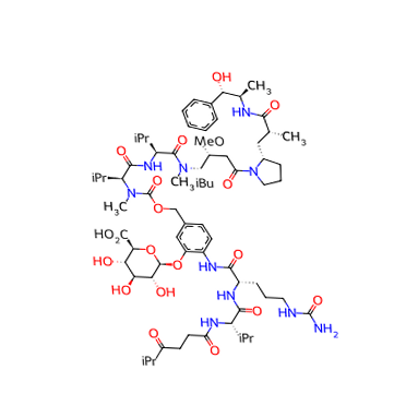 CC[C@H](C)[C@@H]([C@@H](CC(=O)N1CCC[C@H]1C[C@@H](C)C(=O)N[C@H](C)[C@@H](O)c1ccccc1)OC)N(C)C(=O)[C@@H](NC(=O)[C@H](C(C)C)N(C)C(=O)OCc1ccc(NC(=O)[C@H](CCCNC(N)=O)NC(=O)[C@@H](NC(=O)CCC(=O)C(C)C)C(C)C)c(O[C@@H]2O[C@H](C(=O)O)[C@@H](O)[C@H](O)[C@H]2O)c1)C(C)C